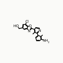 Cc1c(N)cccc1-c1nccc(-c2nc3cc(CO)cc(Cl)c3o2)c1C